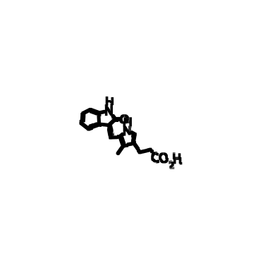 Cc1c(CCC(=O)O)c[nH]c1C=C1C(=O)Nc2ccccc21